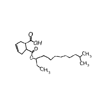 CCC(CCCCCCCC(C)C)OC(=O)C1CC=CCC1C(=O)O